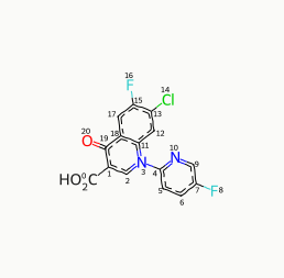 O=C(O)c1cn(-c2ccc(F)cn2)c2cc(Cl)c(F)cc2c1=O